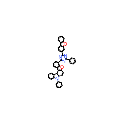 C1=CC2C(c3ccccc3N2c2ccccc2)c2c1oc1c(-c3nc(-c4ccccc4)nc(-c4ccc5c(c4)oc4ccccc45)n3)cccc21